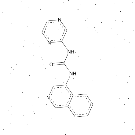 O=C(Nc1cnccn1)Nc1cncc2ccccc12